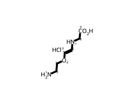 Cl.NCCOC=CNCC(=O)O